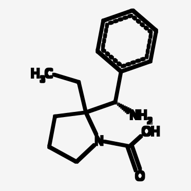 CCC1([C@@H](N)c2ccccc2)CCCN1C(=O)O